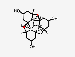 CC(=O)O[N+]1(N([N+]2(OC(C)=O)C(C)(C)CC(O)CC2(C)C)[N+]2(OC(C)=O)C(C)(C)CC(O)CC2(C)C)C(C)(C)CC(O)CC1(C)C